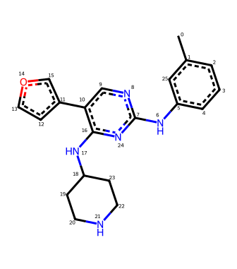 Cc1cccc(Nc2ncc(-c3ccoc3)c(NC3CCNCC3)n2)c1